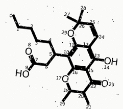 CCCCCC(CC(=O)O)c1c2c(c(O)c3c1OC(C)C(C)C3=O)C=CC(C)(C)O2